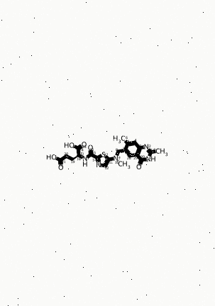 Cc1nc2cc(C)c(CN(C)c3cnc(C(=O)N[C@@H](CCC(=O)O)C(=O)O)s3)cc2c(=O)[nH]1